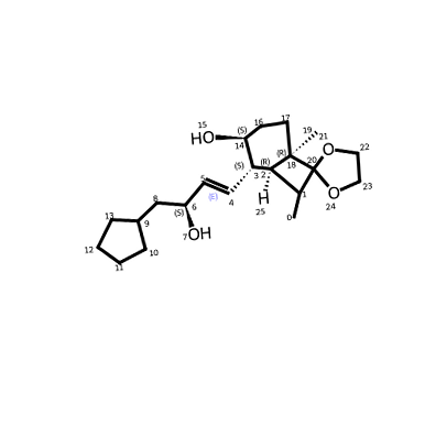 CC1[C@H]2[C@H](/C=C/[C@@H](O)CC3CCCC3)[C@@H](O)CC[C@@]2(C)C12OCCO2